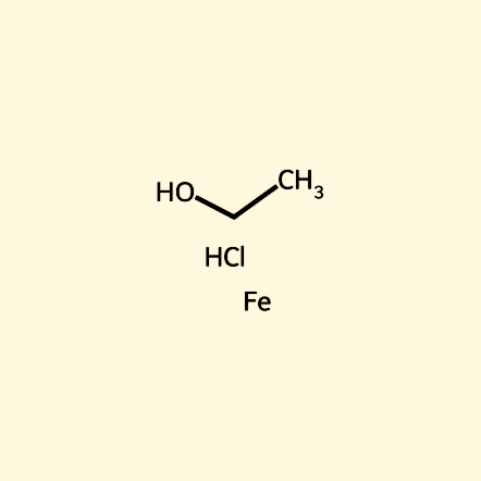 CCO.Cl.[Fe]